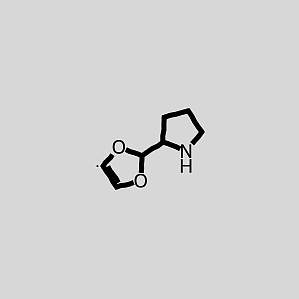 [C]1=COC(C2CCCN2)O1